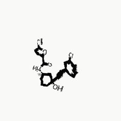 O=C(N[C@H]1CCC[C@@](O)(C#Cc2cccc(Cl)c2)C1)c1ccc(Cl)o1